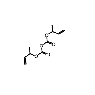 C=CC(C)OC(=O)OC(=O)OC(C)C=C